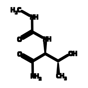 CNC(=O)N[C@H](C(N)=O)[C@@H](C)O